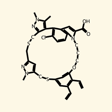 C=Cc1cc2cc(c1C=C)OCCCn1c(C(=O)O)cc3c(c(Cl)ccc31)-c1c(nn(C)c1C)CSCc1cc(n(C)n1)CS2